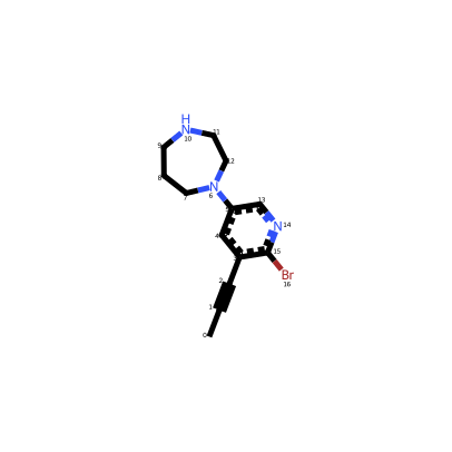 CC#Cc1cc(N2CCCNCC2)cnc1Br